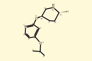 CC(C)Oc1ccnc(O[C@@H]2CC[C@@H](C)NC2)c1